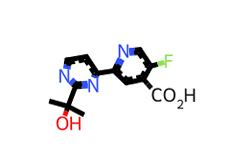 CC(C)(O)c1nccc(-c2cc(C(=O)O)c(F)cn2)n1